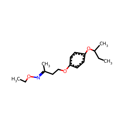 CCO/N=C(\C)CCOc1ccc(OC(C)CC)cc1